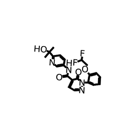 CC(C)(O)c1ccc(NC(=O)c2ccnn(-c3ccccc3OCC(F)F)c2=O)cn1